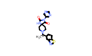 C[C@H](c1ccc2scnc2c1)N1CCC2(CC1)NC(=O)N(c1cncnc1)C2=O